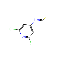 S/C=N/c1cc(Cl)nc(Cl)c1